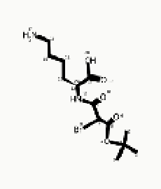 CC(C)(C)OC(=O)C(Br)C(=O)N[C@@H](CCCCN)C(=O)O